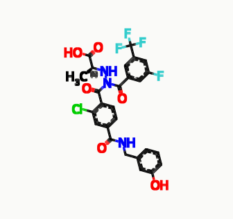 C[C@H](NN(C(=O)c1cc(F)cc(C(F)(F)F)c1)C(=O)c1ccc(C(=O)NCc2cccc(O)c2)cc1Cl)C(=O)O